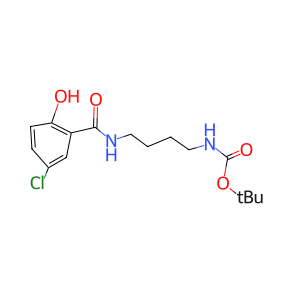 CC(C)(C)OC(=O)NCCCCNC(=O)c1cc(Cl)ccc1O